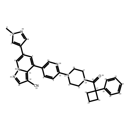 Cn1cc(-c2cc(-c3ccc(N4CCN(C(=O)C5(c6ccccc6)CCC5)CC4)nc3)c3c(C#N)cnn3c2)cn1